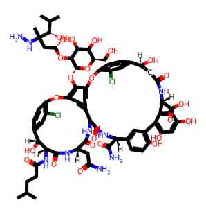 CC(C)CCC(=O)N[C@H]1C(=O)N[C@@H](CC(N)=O)C(=O)N[C@H]2C(=O)N[C@@H](C(N)=O)c3ccc(O)c(c3)-c3c(O)cc(O)cc3[C@@H](C(=O)O)NC(=O)C[C@H](O)c3ccc(c(Cl)c3)Oc3cc2cc(c3O[C@H]2O[C@H](CO)C(O)C(O)C2O[C@@H](O)CC(C)(NN)[C@@H](O)C(C)C)Oc2ccc(cc2Cl)[C@H]1O